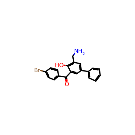 NCc1cc(-c2ccccc2)cc(C(=O)c2ccc(Br)cc2)c1O